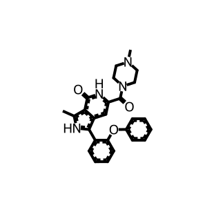 Cc1[nH]c(-c2ccccc2Oc2ccccc2)c2cc(C(=O)N3CCN(C)CC3)[nH]c(=O)c12